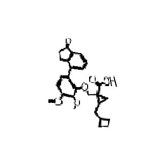 COc1ccc(-c2cccc3c2CCC3=O)c(OCC2(C(=O)O)CC2CC2CCC2)c1OC